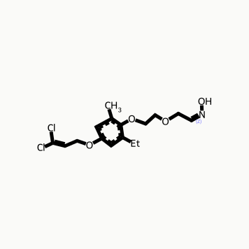 CCc1cc(OCC=C(Cl)Cl)cc(C)c1OCCOC/C=N\O